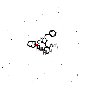 C=CC(=O)N1C2CCC1CC(CNc1ncnc(N)c1C1C=NN(Cc3ccccc3)C1)C2